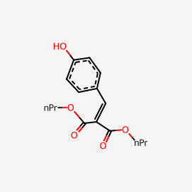 CCCOC(=O)C(=Cc1ccc(O)cc1)C(=O)OCCC